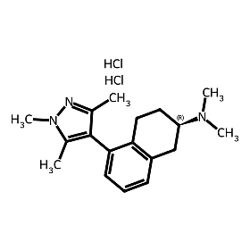 Cc1nn(C)c(C)c1-c1cccc2c1CC[C@@H](N(C)C)C2.Cl.Cl